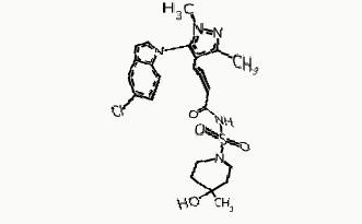 Cc1nn(C)c(-n2ccc3cc(Cl)ccc32)c1/C=C/C(=O)NS(=O)(=O)N1CCC(C)(O)CC1